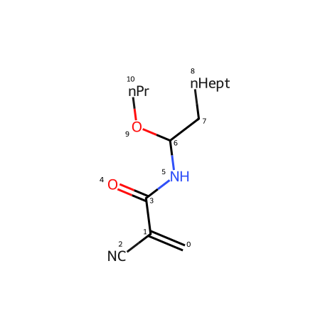 C=C(C#N)C(=O)NC(CCCCCCCC)OCCC